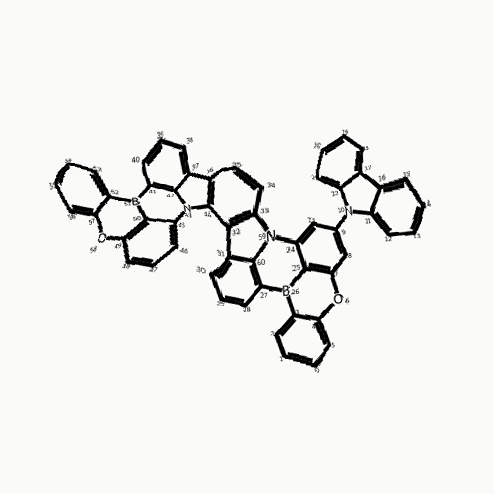 c1ccc2c(c1)Oc1cc(-n3c4ccccc4c4ccccc43)cc3c1B2c1cccc2c4c(ccc5c6cccc7c6n(c54)-c4cccc5c4B7c4ccccc4O5)n-3c12